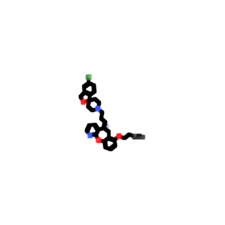 COCCOc1cccc2c1C/C(=C/CCN1CCC3(CC1)OCc1cc(Cl)ccc13)c1cccnc1O2